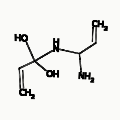 C=CC(N)NC(O)(O)C=C